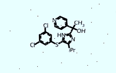 CC(C)c1nc(C(C)(O)c2ccncc2)[nH]c1Sc1cc(Cl)cc(Cl)c1